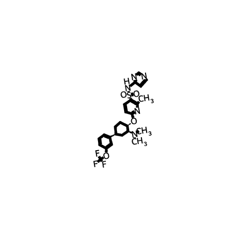 Cc1nc(O[C@H]2CC[C@H](c3cccc(OC(F)(F)F)c3)C[C@@H]2N(C)C)ccc1S(=O)(=O)Nc1ccncn1